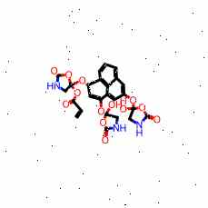 C=CC(=O)OC1(OC2C=C(OC3(O)CNC(=O)O3)c3cc(OC4(O)CNC(=O)O4)cc4cccc2c34)CNC(=O)O1